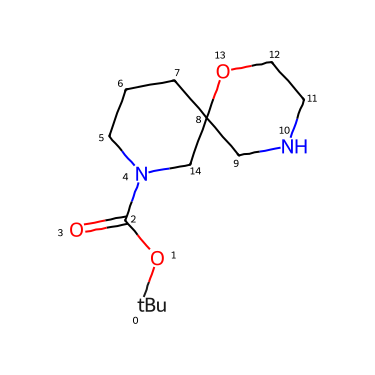 CC(C)(C)OC(=O)N1CCCC2(CNCCO2)C1